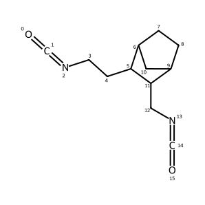 O=C=NCCC1C2CCC(C2)C1CN=C=O